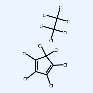 ClC(Cl)(Cl)C(Cl)(Cl)Cl.ClC1=C(Cl)C(Cl)(Cl)C(Cl)=C1Cl